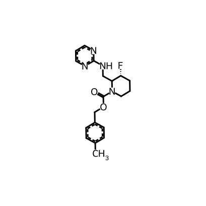 Cc1ccc(COC(=O)N2CCC[C@@H](F)C2CNc2ncccn2)cc1